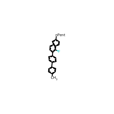 CCCCCc1ccc2c(F)c(-c3ccc(-c4ccc(C)cc4)cc3)ccc2c1